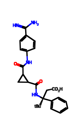 CC(C)(C)[C@](CC(=O)O)(NC(=O)C1CC1C(=O)Nc1ccc(C(=N)N)cc1)c1ccccc1